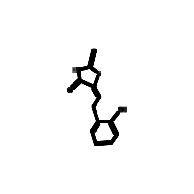 O=C1NC(=O)C(=CCc2ccccc2O)S1